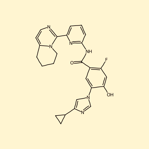 O=C(Nc1cccc(C2=NC=C=C3CCCCN32)n1)c1cc(-n2cnc(C3CC3)c2)c(O)cc1F